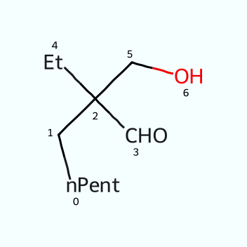 CCCCCCC(C=O)(CC)CO